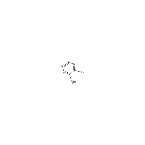 CCCCc1cccnc1I